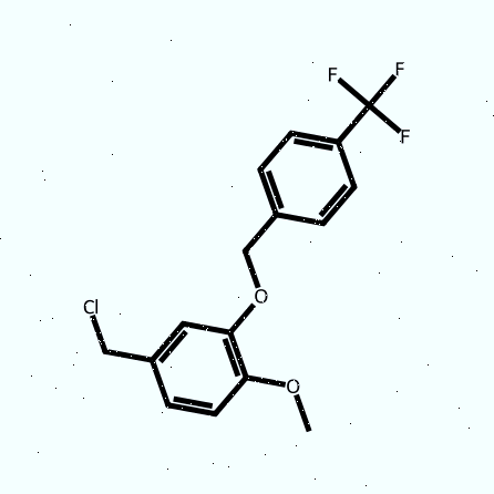 COc1ccc(CCl)cc1OCc1ccc(C(F)(F)F)cc1